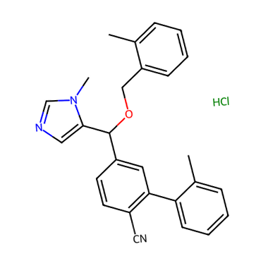 Cc1ccccc1COC(c1ccc(C#N)c(-c2ccccc2C)c1)c1cncn1C.Cl